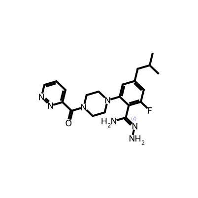 CC(C)Cc1cc(F)c(/C(N)=N/N)c(N2CCN(C(=O)c3cccnn3)CC2)c1